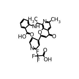 Cc1cc2c(=O)cc(-c3ccncc3)oc2c([C@@H](C)Nc2ccccc2C(=O)O)n1.O=C(O)C(F)(F)F